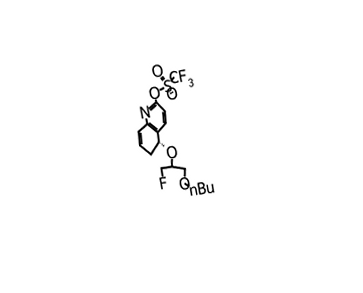 CCCCOCC(CF)O[C@@H]1CC=Cc2nc(OS(=O)(=O)C(F)(F)F)ccc21